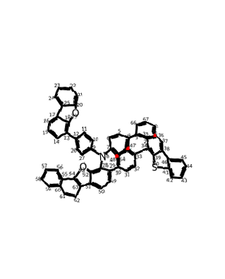 c1ccc(-c2ccc(N(c3ccc(-c4cccc5c4oc4ccccc45)cc3)c3c(-c4ccc(-c5cccc6c5sc5ccccc56)cc4)ccc4c3oc3c5ccccc5ccc43)cc2)cc1